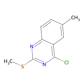 CSc1nc(Cl)c2cc(C)ccc2n1